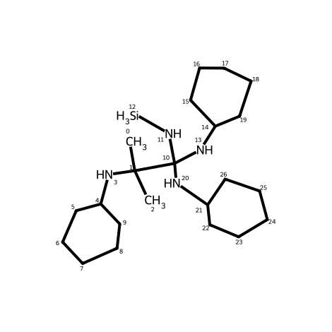 CC(C)(NC1CCCCC1)C(N[SiH3])(NC1CCCCC1)NC1CCCCC1